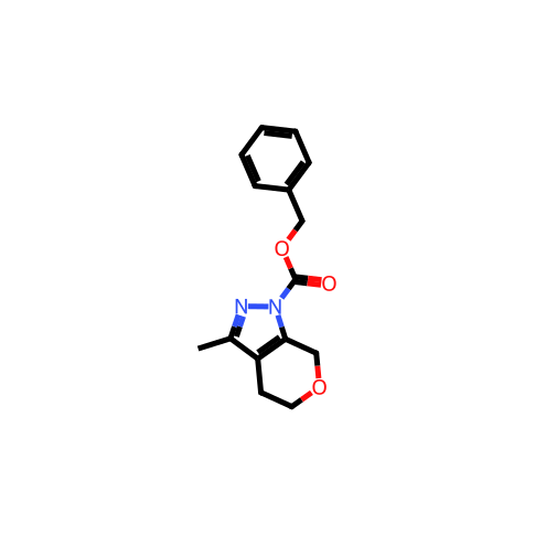 Cc1nn(C(=O)OCc2ccccc2)c2c1CCOC2